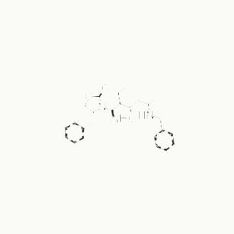 CCC(C(=O)N1C(=O)OC[C@H]1Cc1ccccc1)C(O)CC(C)NCc1ccccc1